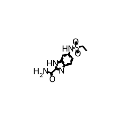 CCS(=O)(=O)Nc1ccc2nc(C(N)=O)[nH]c2c1